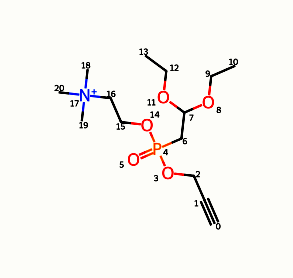 C#CCOP(=O)(CC(OCC)OCC)OCC[N+](C)(C)C